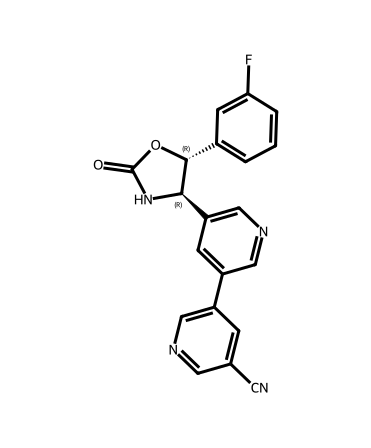 N#Cc1cncc(-c2cncc([C@H]3NC(=O)O[C@@H]3c3cccc(F)c3)c2)c1